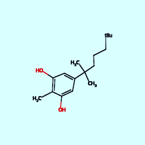 Cc1c(O)cc(C(C)(C)CCCC(C)(C)C)cc1O